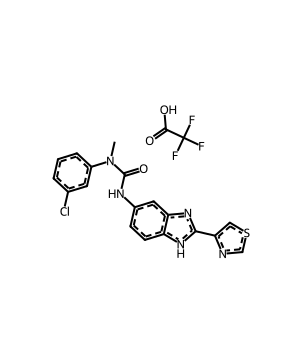 CN(C(=O)Nc1ccc2[nH]c(-c3cscn3)nc2c1)c1cccc(Cl)c1.O=C(O)C(F)(F)F